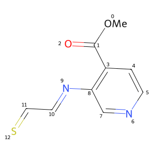 COC(=O)c1ccncc1N=CC=S